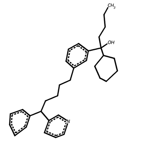 CCCCC(O)(c1cccc(CCCCC(c2ccccc2)c2cccnc2)c1)C1CCCCC1